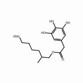 CCCCCCCCCCCCCCC(C)COC(=O)Cc1cc(O)c(O)c(O)c1